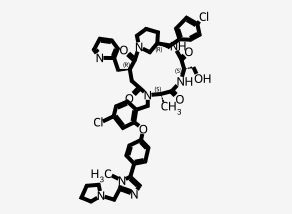 C[C@H]1C(=O)N[C@@H](CO)C(=O)N[C@@]2(Cc3ccc(Cl)cc3)CCCN(C2)C(=O)[C@H](Cc2ccccn2)CC(=O)N1Cc1ccc(Cl)cc1Oc1ccc(-c2cnc(CN3CCCC3)n2C)cc1